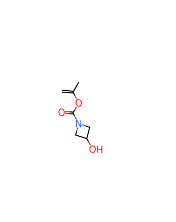 C=C(C)OC(=O)N1CC(O)C1